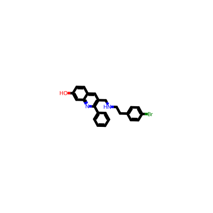 Oc1ccc2cc(CNCCc3ccc(Br)cc3)c(-c3ccccc3)nc2c1